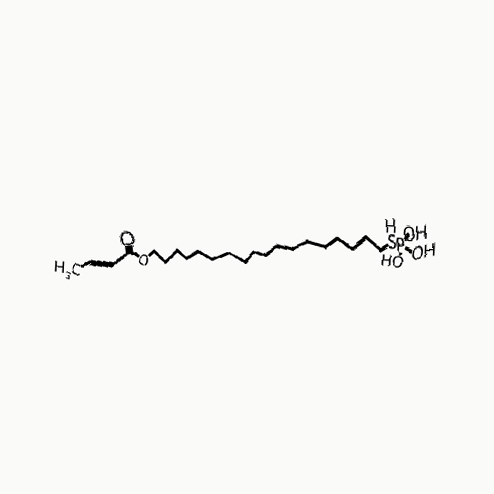 CC=CC(=O)OCCCCCCCCCCCCCCCCCC[SH]=P(O)(O)O